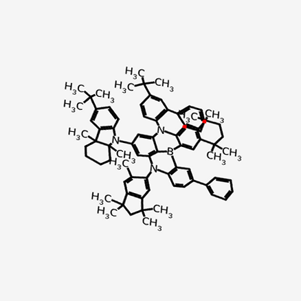 Cc1cc2c(cc1N1c3ccc(-c4ccccc4)cc3B3c4cc5c(cc4N(c4ccc(C(C)(C)C)cc4-c4ccccc4)c4cc(N6c7ccc(C(C)(C)C)cc7C7(C)CCCCC67C)cc1c43)C(C)(C)CCC5(C)C)C(C)(C)CC2(C)C